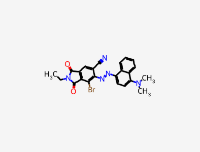 CCN1C(=O)c2cc(C#N)c(/N=N/c3ccc(N(C)C)c4ccccc34)c(Br)c2C1=O